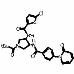 CC(C)(C)C(=O)N1C[C@H](NC(=O)c2ccc(-n3ccccc3=O)cc2)[C@H](NC(=O)c2ccc(Cl)s2)C1